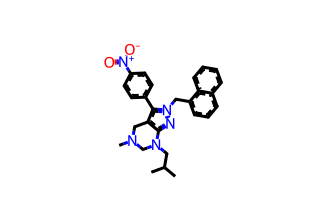 CC(C)CN1CN(C)Cc2c1nn(Cc1cccc3ccccc13)c2-c1ccc([N+](=O)[O-])cc1